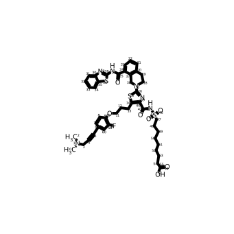 CN(C)CC#Cc1ccc(OCCCc2sc(N3CCc4cccc(C(=O)Nc5nc6ccccc6s5)c4C3)nc2C(=O)NS(=O)(=O)CCCCCCCCC(=O)O)c(F)c1